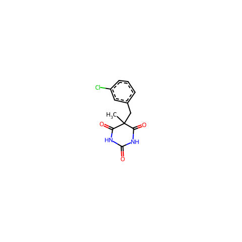 CC1(Cc2cccc(Cl)c2)C(=O)NC(=O)NC1=O